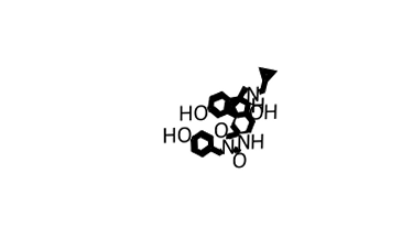 O=C1N[C@]2(CC[C@@]3(O)[C@@H]4N(CC5CC5)CC45C[C@@]3(C2)c2cc(O)ccc25)C(=O)N1Cc1ccc(O)cc1